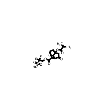 C=C(C)C(=O)OC12CC(=O)C3C(C(=O)OCC(F)(F)S(=O)(=O)O)C(C1)OC32